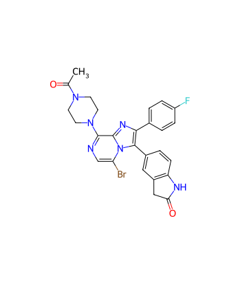 CC(=O)N1CCN(c2ncc(Br)n3c(-c4ccc5c(c4)CC(=O)N5)c(-c4ccc(F)cc4)nc23)CC1